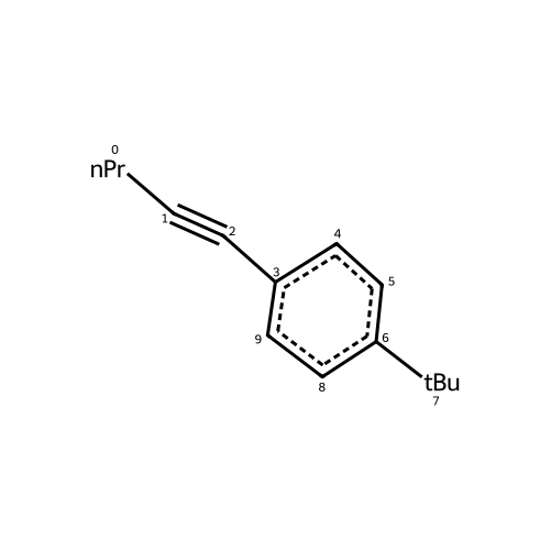 CCCC#Cc1ccc(C(C)(C)C)cc1